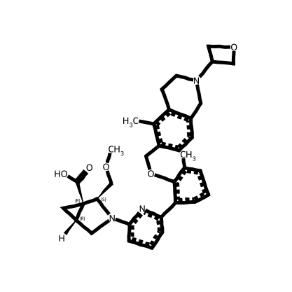 COC[C@H]1N(c2cccc(-c3cccc(C)c3OCc3ccc4c(c3C)CCN(C3COC3)C4)n2)C[C@@H]2C[C@@]21C(=O)O